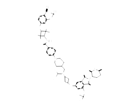 [2H]C([2H])([2H])Oc1cc(OC2C(C)(C)C(NC(=O)c3ccc(N4CCC(CN(C(C)C)C5CC(Oc6cc(OC([2H])([2H])[2H])c7c(c6)C(=O)N([C@@H]6CCC(=O)NC6=O)C7=O)C5)CC4)cc3)C2(C)C)ccc1C#N